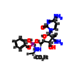 CCOC(=O)[C@H](C)NP(=O)(OC[C@H]1O[C@@H](n2ccc(N)nc2=O)[C@](C)(N)C1O)Oc1ccccc1